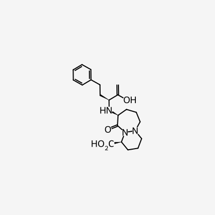 C=C(O)[C@H](CCc1ccccc1)N[C@H]1CCCN2CCC[C@@H](C(=O)O)N2C1=O